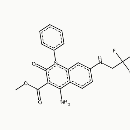 COC(=O)c1c(N)c2ccc(NCC(F)(F)F)cc2n(-c2ccccc2)c1=O